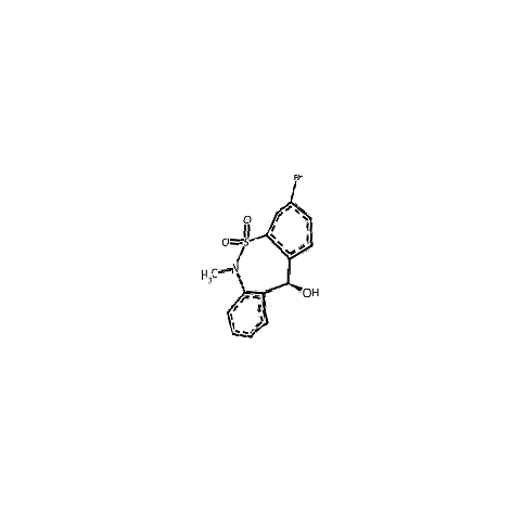 CN1c2ccccc2[C@H](O)c2ccc(Br)cc2S1(=O)=O